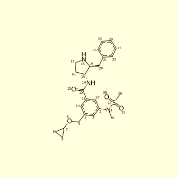 CN(c1cc(COC2CC2)cc(C(=O)N[C@@H]2CCN[C@H]2Cc2ccccc2)c1)S(C)(=O)=O